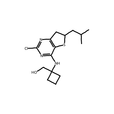 CC(C)CC1Cc2nc(Cl)nc(NC3(CO)CCC3)c2S1